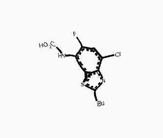 CCC(C)c1nc2c(Cl)cc(F)c(NC(=O)O)c2s1